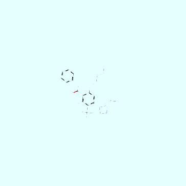 CCCCOc1cc(C2CCN2CC)c(C(F)(F)F)c(C)c1C(=O)Oc1ccccc1